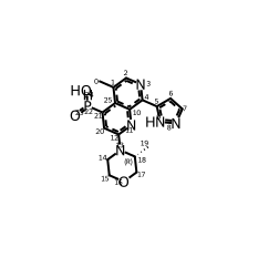 Cc1cnc(-c2ccn[nH]2)c2nc(N3CCOC[C@H]3C)cc([PH](=O)O)c12